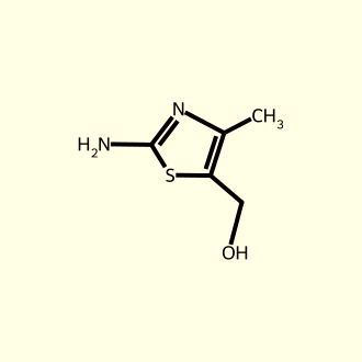 Cc1nc(N)sc1CO